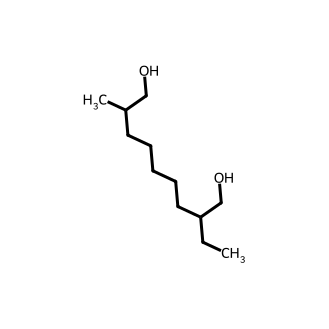 CCC(CO)CCCCCC(C)CO